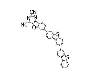 N#Cc1nc(C#N)c2oc3cc(-c4ccc5c(c4)sc4ccc(-c6ccc7c(c6)sc6ccccc67)cc45)ccc3c2n1